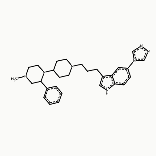 CN1CCN(C2CCN(CCCc3c[nH]c4ccc(-n5cnnc5)cc34)CC2)C(c2ccccc2)C1